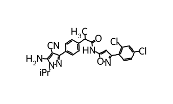 CC(C(=O)Nc1cc(-c2ccc(Cl)cc2Cl)no1)c1ccc(-c2nn(C(C)C)c(N)c2C#N)cc1